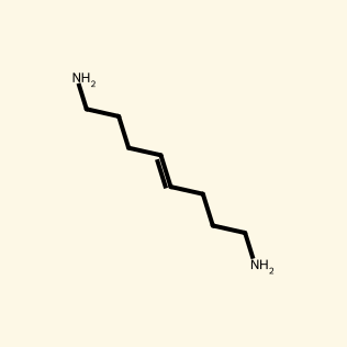 NCCCC=CCCCN